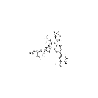 CC(C)n1cc(-c2cnc(N(C(=O)OC(C)(C)C)C(=O)OC(C)(C)C)c(-c3nnc(-c4cccc(CBr)c4)o3)n2)ccc1=O